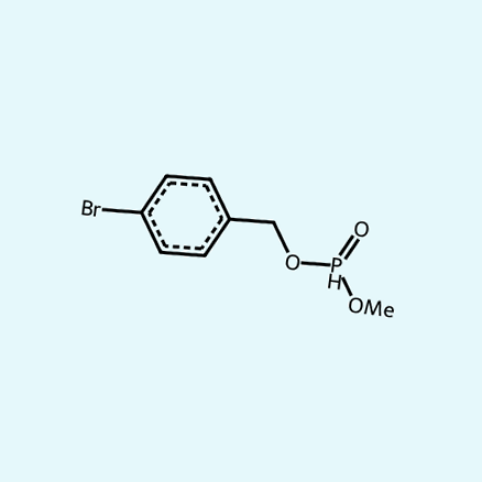 CO[PH](=O)OCc1ccc(Br)cc1